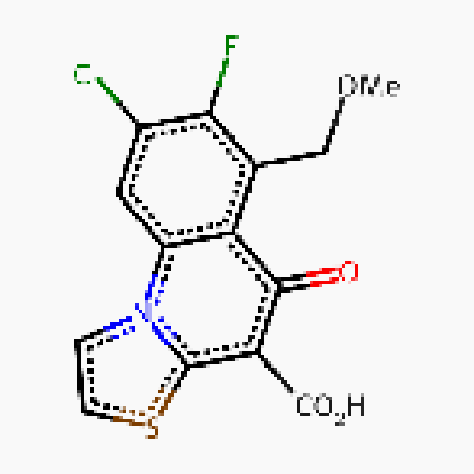 COCc1c(F)c(Cl)cc2c1c(=O)c(C(=O)O)c1sccn12